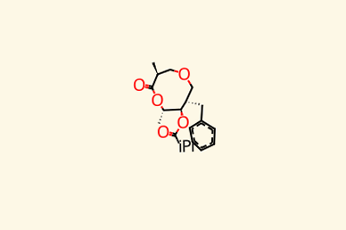 CC(C)C(=O)O[C@@H]1[C@@H](Cc2ccccc2)COC[C@H](C)C(=O)O[C@H]1C